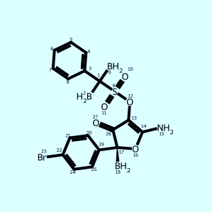 BC(B)(c1ccccc1)S(=O)(=O)OC1=C(N)O[C@](B)(c2ccc(Br)cc2)C1=O